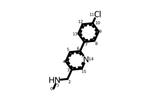 CNCc1ccc(-c2ccc(Cl)cc2)nc1